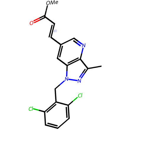 COC(=O)/C=C/c1cnc2c(C)nn(Cc3c(Cl)cccc3Cl)c2c1